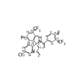 C=CC[C@](NC(=C)c1ccc(F)c(C(F)(F)F)c1)(c1cc(F)cc(C(F)(F)F)c1)c1ccc(Cl)cn1